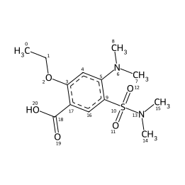 CCOc1cc(N(C)C)c(S(=O)(=O)N(C)C)cc1C(=O)O